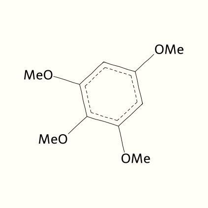 [CH2]Oc1cc(OC)c(OC)c(OC)c1